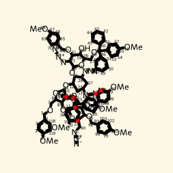 COc1ccc(COCC2OC(OC3C(OCc4ccc(OC)cc4)C(N=[N+]=[N-])CC(N=[N+]=[N-])C3OC3OC(COC(c4ccccc4)(c4ccccc4)c4ccc(OC)cc4)C(O)C(OCc4ccc(OC)cc4)C3N=[N+]=[N-])C(OCc3ccc(OC)cc3)C2OC2OC(CN=[N+]=[N-])C(OCc3ccc(OC)cc3)C(OCc3ccc(OC)cc3)C2N=[N+]=[N-])cc1